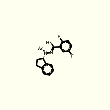 CC(=O)N(/N=C(\S)c1cc(F)ccc1F)[C@H]1CCc2ccccc21